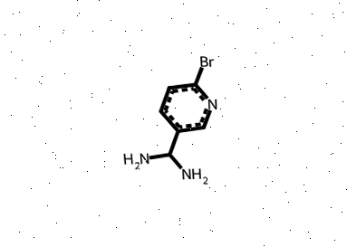 NC(N)c1ccc(Br)nc1